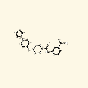 CC(=O)c1cccc(NC(=O)N2CCC(Cc3ccc(-n4cccc4)cc3)CC2)c1